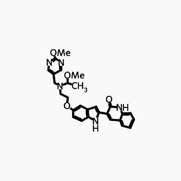 COc1ncc(CN(CCOc2ccc3[nH]c(-c4cc5ccccc5[nH]c4=O)cc3c2)C(C)OC)cn1